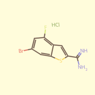 Cl.N=C(N)c1cc2c(F)cc(Br)cc2s1